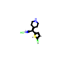 Cl.N#CC(=C1CCNCC1)c1ccc(Cl)s1